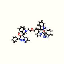 NC(C(=O)C(c1cn(CCOCCC(c2c[nH]c3ccccc23)C2CCCN2C(=O)C(N)C2CCCCC2)c2ccccc12)C1CCCN1)C1CCCCC1